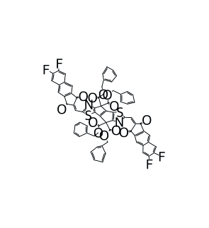 O=C1C(=Cc2nc3c(s2)C2=C(c4sc(C=C5C(=O)c6cc7cc(F)c(F)cc7cc6C5=O)nc4C2(C(=O)OCc2ccccc2)C(=O)OCc2ccccc2)C3(C(=O)OCc2ccccc2)C(=O)OCc2ccccc2)C(=O)c2cc3cc(F)c(F)cc3cc21